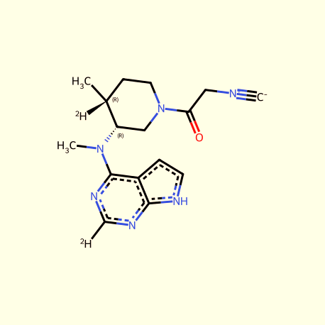 [2H]c1nc(N(C)[C@H]2CN(C(=O)C[N+]#[C-])CC[C@@]2([2H])C)c2cc[nH]c2n1